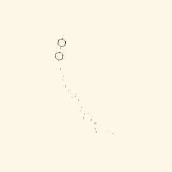 [CH2+][C-](CCCCC)OC(=O)C1CCC(CCCCC2COC(CCCCCCOc3ccc(-c4ccc(C)cc4)cc3)OC2)CC1